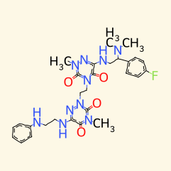 CN(C)C(CNc1nn(C)c(=O)n(CCn2nc(NCCNc3ccccc3)c(=O)n(C)c2=O)c1=O)c1ccc(F)cc1